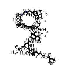 COc1cc2cc(c1Cl)N(C)C(=O)C[C@H](OC(=O)[C@H](C)N(C)C(=O)c1ccc(NC(=O)[C@H](CCCNC(N)=O)NC(=O)[C@@H](NC(=O)CCCCCOC(=O)C(CBr)CBr)C(C)C)c3ncccc13)[C@]1(C)O[C@H]1[C@H](C)[C@@H]1C[C@@](O)(NC(=O)O1)[C@H](OC)/C=C/C=C(\C)C2